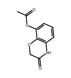 CC(=O)Oc1cccc2c1OCC(=O)N2